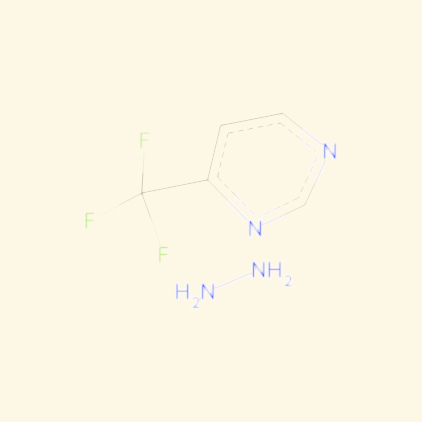 FC(F)(F)c1ccncn1.NN